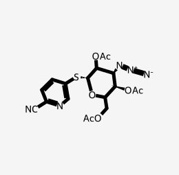 CC(=O)OCC1O[C@H](Sc2ccc(C#N)nc2)C(OC(C)=O)[C@@H](N=[N+]=[N-])[C@H]1OC(C)=O